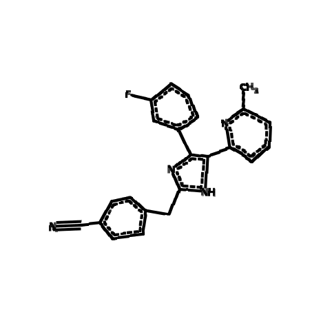 Cc1cccc(-c2[nH]c(Cc3ccc(C#N)cc3)nc2-c2cccc(F)c2)n1